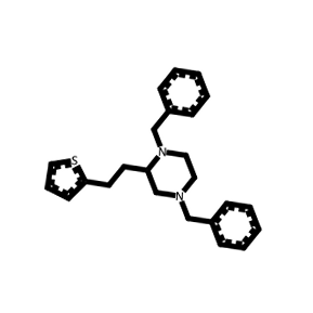 c1ccc(CN2CCN(Cc3ccccc3)C(CCc3cccs3)C2)cc1